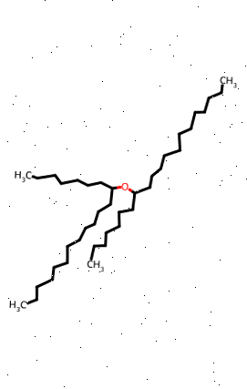 CCCCCCCCCCCCC(CCCCCCC)OC(CCCCCCC)CCCCCCCCCCCC